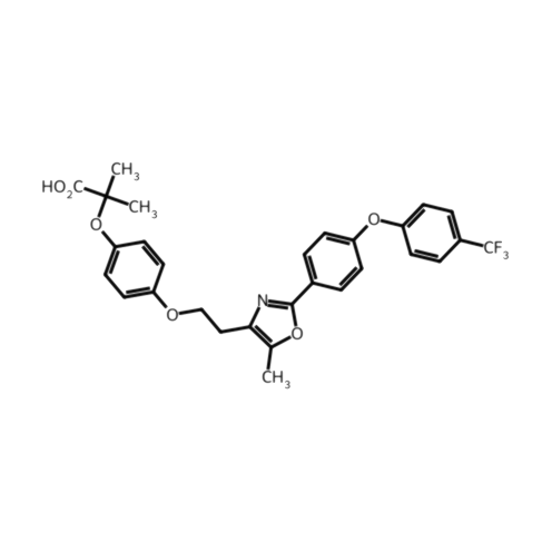 Cc1oc(-c2ccc(Oc3ccc(C(F)(F)F)cc3)cc2)nc1CCOc1ccc(OC(C)(C)C(=O)O)cc1